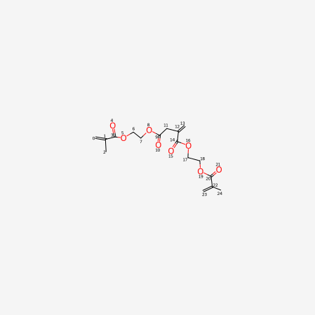 C=C(C)C(=O)OCCOC(=O)CC(=C)C(=O)OCCOC(=O)C(=C)C